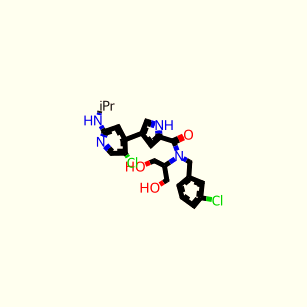 CC(C)Nc1cc(-c2c[nH]c(C(=O)N(Cc3cccc(Cl)c3)C(CO)CO)c2)c(Cl)cn1